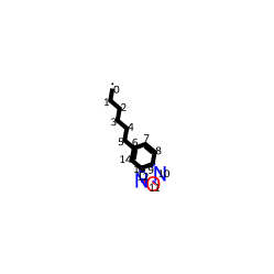 [CH2]CCCCCc1ccc2nonc2c1